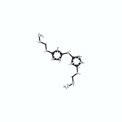 COCSc1nnc(Sc2nnc(SCOC)s2)s1